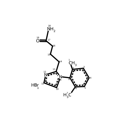 Br.Cc1cccc(C)c1-n1ccnc1CCCC(N)=O